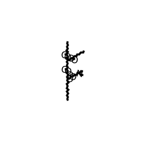 CCCCCCCCCCCCC(CCCOC(=O)CCCCC(COC(=O)CCCCCCC)COC(=O)CCCCCCC)OC(=O)OCCCN(CC)CC